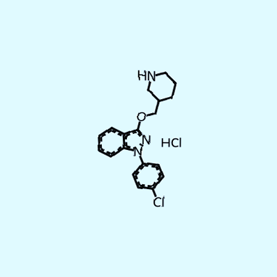 Cl.Clc1ccc(-n2nc(OCC3CCCNC3)c3ccccc32)cc1